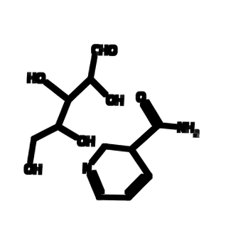 NC(=O)C1C=CC=NC1.O=CC(O)C(O)C(O)CO